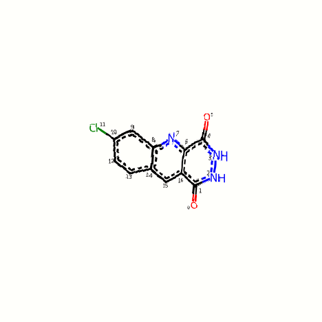 O=c1[nH][nH]c(=O)c2nc3cc(Cl)ccc3cc12